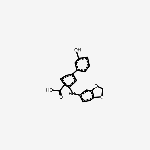 O=C(O)c1ccc(-c2cccc(O)c2)cc1Nc1ccc2c(c1)OCO2